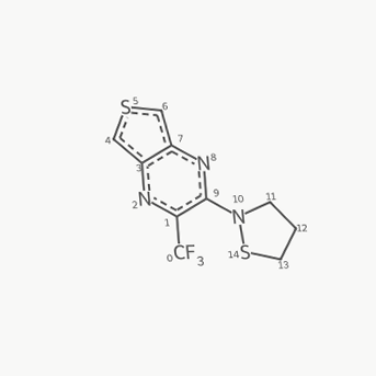 FC(F)(F)c1nc2cscc2nc1N1CCCS1